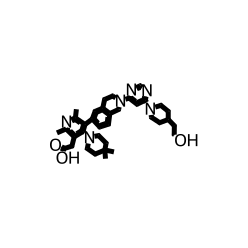 Cc1nc(C)c(-c2ccc3c(c2)CCN(c2cc(N4CCC(CCO)CC4)ncn2)C3)c(N2CCC(C)(C)CC2)c1CC(=O)O